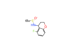 CC(C)(C)[S+]([O-])N[C@H]1CCOc2cccc(F)c21